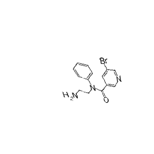 NCCN(C(=O)c1cncc(Br)c1)c1ccccc1